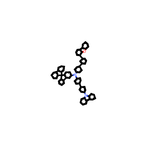 c1ccc(C2(c3ccccc3)c3ccccc3-c3cc(N(c4ccc(-c5ccc(-n6c7ccccc7c7ccccc76)cc5)cc4)c4ccc(-c5cccc(-c6cccc7c6oc6ccccc67)c5)cc4)ccc32)cc1